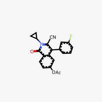 CC(=O)Oc1ccc2c(=O)n(C3CC3)c(C#N)c(-c3cccc(F)c3)c2c1